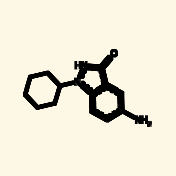 Nc1ccc2c(c1)c(=O)[nH]n2C1CCCCC1